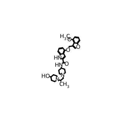 COc1cccc2occ(COc3cccc4[nH]c(C(=O)NC5CCN(C[C@H](C)N6CCC(O)CC6)CC5)cc34)c12